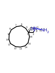 CC1(CNN)CCCCCCCCCCCC1